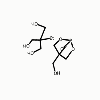 CCC(CO)(CO)CO.OCC12COP(OC1)OC2